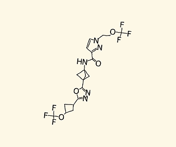 O=C(NC12CC(c3nnc(C4CC(OC(F)(F)F)C4)o3)(C1)C2)c1ccn(CCOC(F)(F)F)n1